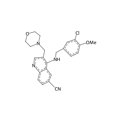 COc1ccc(CNc2c(CN3CCOCC3)cnc3ccc(C#N)cc23)cc1Cl